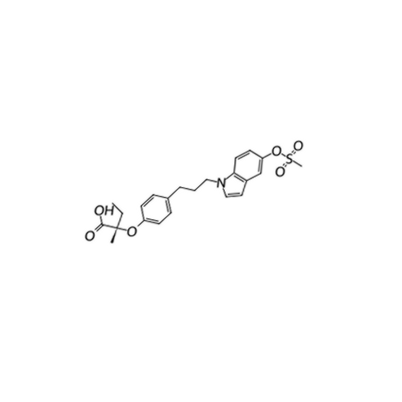 CC[C@](C)(Oc1ccc(CCCn2ccc3cc(OS(C)(=O)=O)ccc32)cc1)C(=O)O